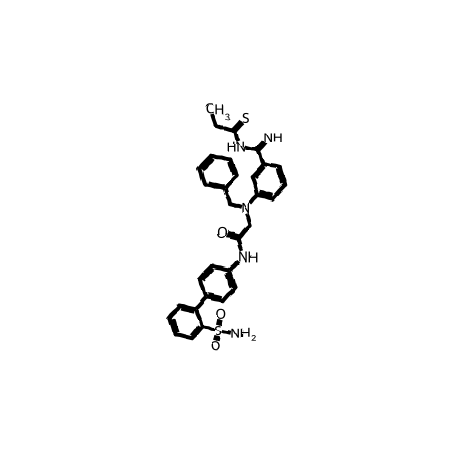 CCC(=S)NC(=N)c1cccc(N(CC(=O)Nc2ccc(-c3ccccc3S(N)(=O)=O)cc2)Cc2ccccc2)c1